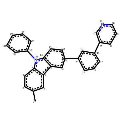 Cc1ccc2c(c1)c1cc(-c3cccc(-c4cccnc4)c3)ccc1n2-c1ccccc1